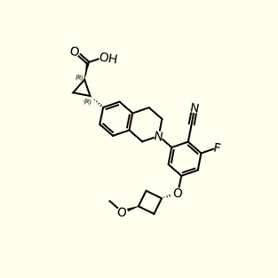 CO[C@H]1C[C@H](Oc2cc(F)c(C#N)c(N3CCc4cc([C@@H]5C[C@H]5C(=O)O)ccc4C3)c2)C1